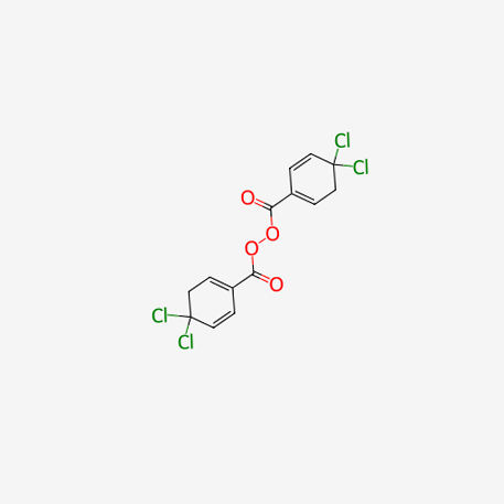 O=C(OOC(=O)C1=CCC(Cl)(Cl)C=C1)C1=CCC(Cl)(Cl)C=C1